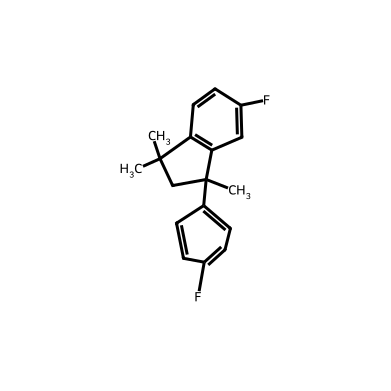 CC1(C)CC(C)(c2ccc(F)cc2)c2cc(F)ccc21